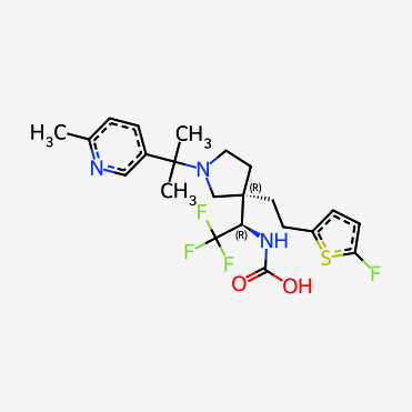 Cc1ccc(C(C)(C)N2CC[C@@](CCc3ccc(F)s3)([C@@H](NC(=O)O)C(F)(F)F)C2)cn1